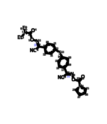 CCN(CC)C(=O)O/N=C(\C#N)c1ccc(Sc2ccc(/C(C#N)=N/OC(=O)n3cccc3)cc2)cc1